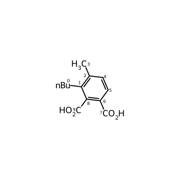 CCCCc1c(C)ccc(C(=O)O)c1C(=O)O